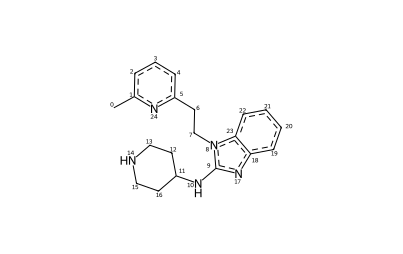 Cc1cccc(CCn2c(NC3CCNCC3)nc3ccccc32)n1